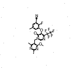 COc1nc(C)nc(C)c1Cn1cnc(C(F)(F)C(F)(F)F)c(Oc2cc(C)cc(C#N)c2F)c1=O